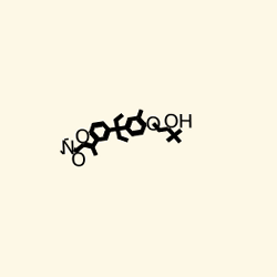 CCC(CC)(c1ccc(OCC(O)C(C)(C)C)c(C)c1)c1ccc2oc(C(=O)N(C)C)c(C)c2c1